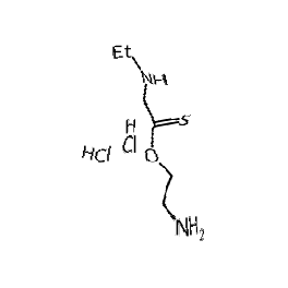 CCNCC(=S)OCCN.Cl.Cl